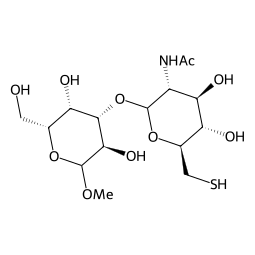 COC1O[C@H](CO)[C@H](O)[C@H](OC2O[C@H](CS)[C@@H](O)[C@H](O)[C@H]2NC(C)=O)[C@H]1O